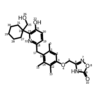 Cc1cc(OCc2noc(=O)[nH]2)c(C)c(C)c1Cc1ccc(O)c(C2(CO)CCCCC2)n1